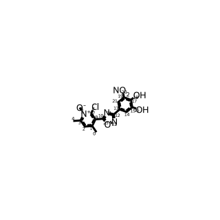 Cc1cc(C)[n+]([O-])c(Cl)c1-c1nc(-c2cc(O)c(O)c([N+](=O)[O-])c2)no1